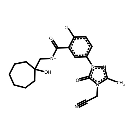 Cc1nn(-c2ccc(Cl)c(C(=O)NCC3(O)CCCCCC3)c2)c(=O)n1CC#N